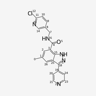 Cc1cc(C(=O)NCc2ccc(Cl)nc2)c2[nH]nc(-c3ccncc3)c2c1